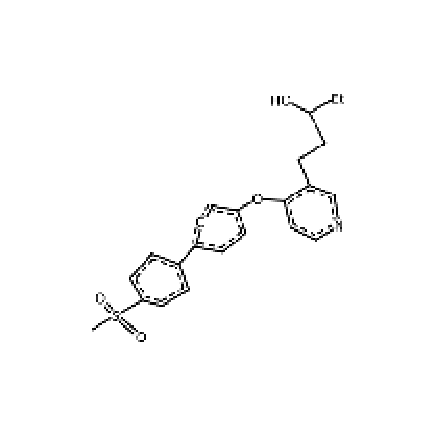 CCC(O)CCc1cnccc1Oc1ccc(-c2ccc(S(C)(=O)=O)cc2)cc1